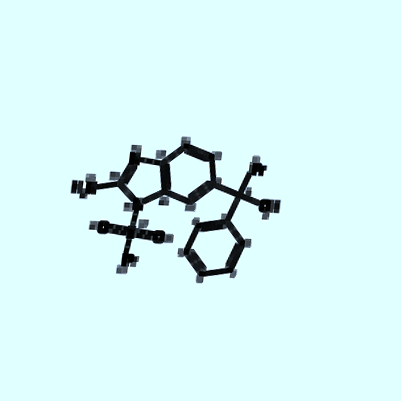 CC(C)C(O)(c1ccccc1)c1ccc2nc(N)n(S(=O)(=O)C(C)C)c2c1